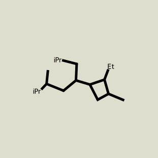 CCC1C(C)CC1C(CC(C)C)CC(C)C(C)C